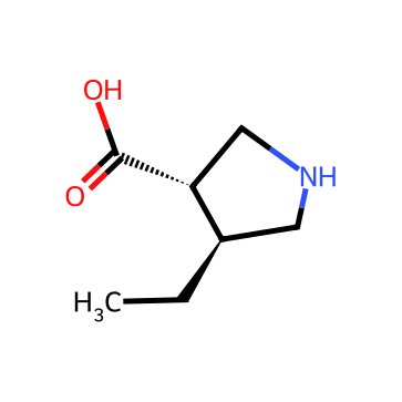 CC[C@@H]1CNC[C@H]1C(=O)O